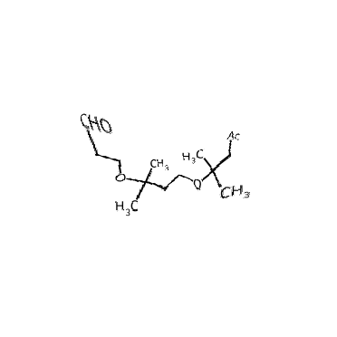 CC(=O)CC(C)(C)OCCC(C)(C)OCCC=O